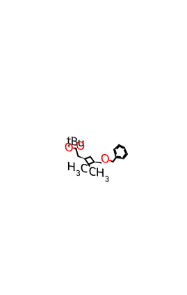 CC(C)(C)OC(=O)C[C@H]1C[C@@H](COCc2ccccc2)C1(C)C